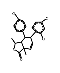 CC1OC(=O)C2(C)C=CC(c3ccc(Cl)cc3Cl)C(c3ccc(Cl)cc3)C12